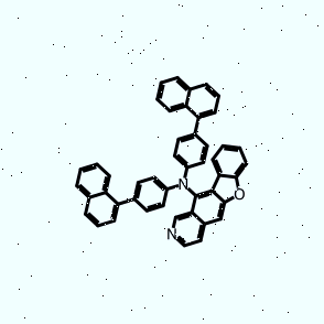 c1ccc2c(-c3ccc(N(c4ccc(-c5cccc6ccccc56)cc4)c4c5cnccc5cc5oc6ccccc6c45)cc3)cccc2c1